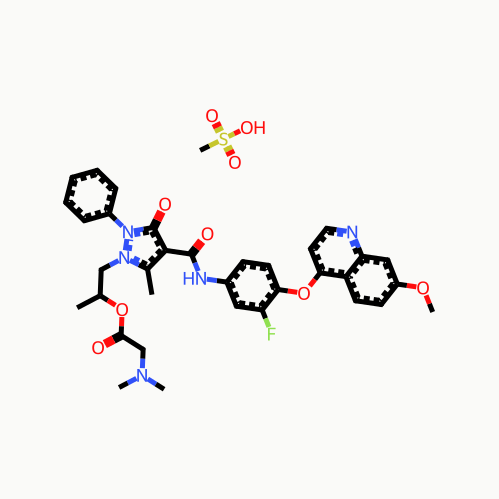 COc1ccc2c(Oc3ccc(NC(=O)c4c(C)n(CC(C)OC(=O)CN(C)C)n(-c5ccccc5)c4=O)cc3F)ccnc2c1.CS(=O)(=O)O